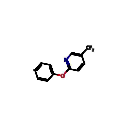 FC(F)(F)c1ccc(Oc2cc[c]cc2)nc1